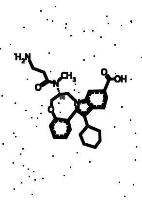 CN(C(=O)CCN)[C@H]1COc2ccccc2-c2c(C3CCCCC3)c3ccc(C(=O)O)cc3n2C1